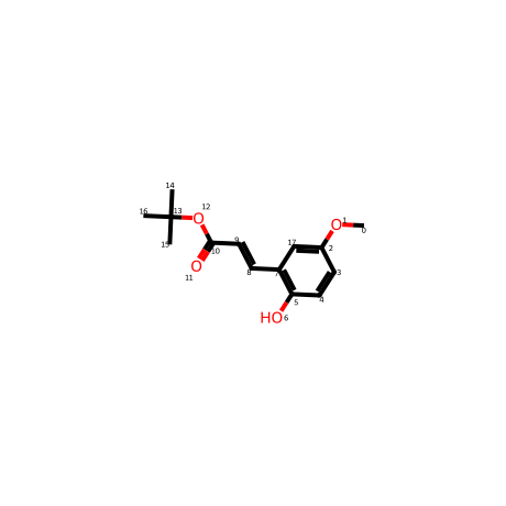 COc1ccc(O)c(C=CC(=O)OC(C)(C)C)c1